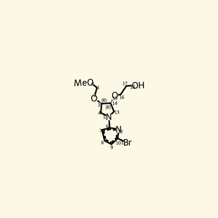 COCO[C@@H]1CN(c2cccc(Br)n2)C[C@H]1OCCO